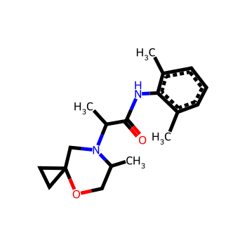 Cc1cccc(C)c1NC(=O)C(C)N1CC2(CC2)OCC1C